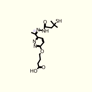 C/C(=N/NC(=O)CC(C)(C)S)c1ccc(OCCCC(=O)O)nn1